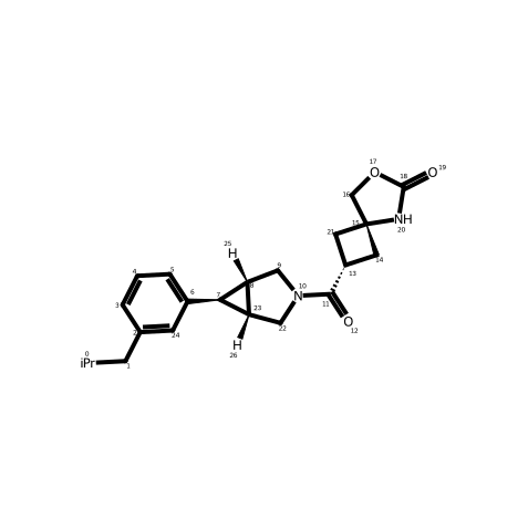 CC(C)Cc1cccc([C@H]2[C@@H]3CN(C(=O)[C@H]4C[C@]5(COC(=O)N5)C4)C[C@@H]32)c1